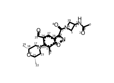 CC(=O)NC1CN(C(=O)c2noc3c(F)c(N4C[C@@H](C)O[C@@H](C)C4)c(C=O)cc23)C1